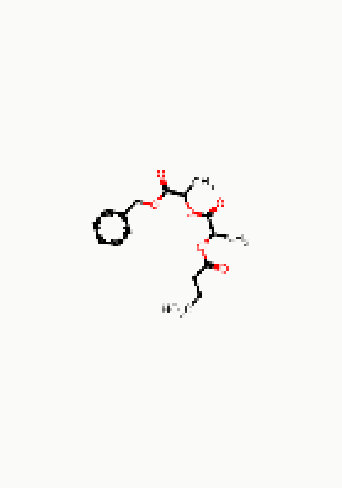 CC(OC(=O)CCC(=O)O)C(=O)OC(C)C(=O)OCc1ccccc1